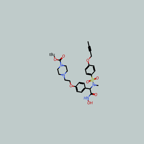 CC#CCOc1ccc(S(=O)(=O)N(C)C(C(=O)NO)c2ccc(OCCN3CCN(C(=O)OC(C)(C)C)CC3)cc2)cc1